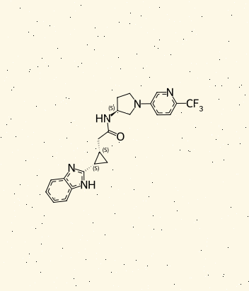 O=C(C[C@@H]1C[C@@H]1c1nc2ccccc2[nH]1)N[C@H]1CCN(c2ccc(C(F)(F)F)nc2)C1